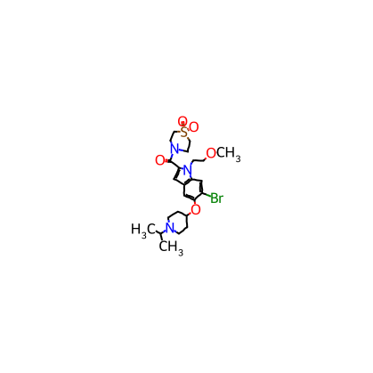 COCCn1c(C(=O)N2CCS(=O)(=O)CC2)cc2cc(OC3CCN(C(C)C)CC3)c(Br)cc21